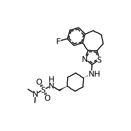 CN(C)S(=O)(=O)NC[C@H]1CC[C@H](Nc2nc3c(s2)CCCc2ccc(F)cc2-3)CC1